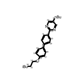 CCCCc1cnc(-c2ccc(-c3ccc(OCCC(C)CC)cc3)cc2)nc1